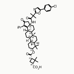 CC(C)C1=C2[C@H]3CC[C@@H]4[C@@]5(C)CC[C@H](OC(=O)[C@H]6C[C@@H](C(=O)O)C6(C)C)C(C)(C)[C@@H]5CC[C@@]4(C)[C@]3(C)CC[C@@]2(NC(=O)C(C)(C)c2ncc(-c3ccc(Cl)cc3)o2)CC1=O